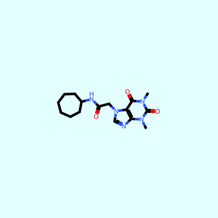 Cn1c(=O)c2c(ncn2CC(=O)NC2CCCCCC2)n(C)c1=O